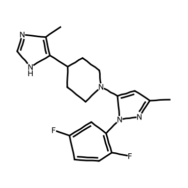 Cc1cc(N2CCC(c3[nH]cnc3C)CC2)n(-c2cc(F)ccc2F)n1